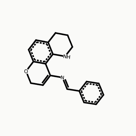 C(=NC1=CCOc2ccc3c(c21)NCCC3)c1ccccc1